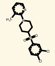 Cc1cccnc1N1CCC(S(=O)(=O)c2ccc(Cl)c(Cl)c2)CC1